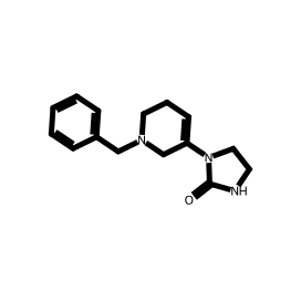 O=C1NCCN1C1=CCCN(Cc2ccccc2)C1